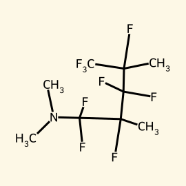 CN(C)C(F)(F)C(C)(F)C(F)(F)C(C)(F)C(F)(F)F